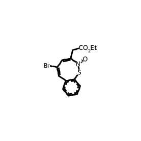 CCOC(=O)C/C1=C/C(Br)=C\c2ccccc2S[N+]1=O